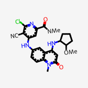 CNC(=O)c1cc(Nc2ccc3c(c2)c(NC2CCCC2OC)cc(=O)n3C)c(C#N)c(Cl)n1